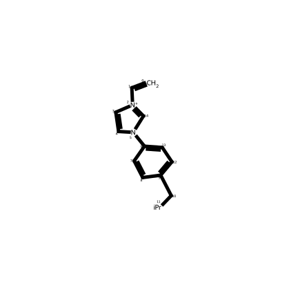 C=C[n+]1ccn(-c2ccc(CC(C)C)cc2)c1